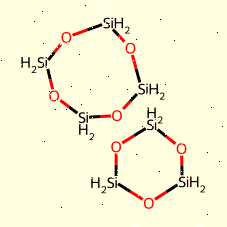 O1[SiH2]O[SiH2]O[SiH2]1.O1[SiH2]O[SiH2]O[SiH2]O[SiH2]1